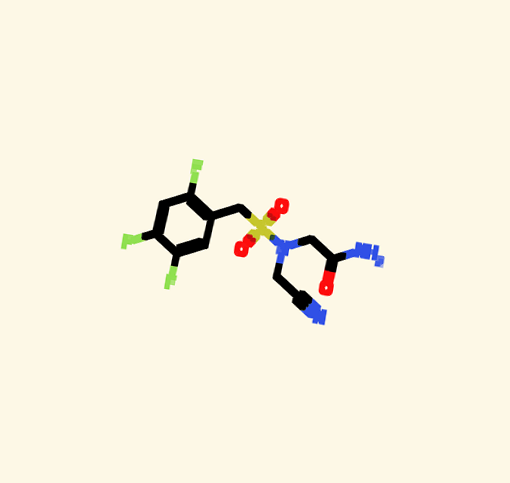 N#CCN(CC(N)=O)S(=O)(=O)Cc1cc(F)c(F)cc1F